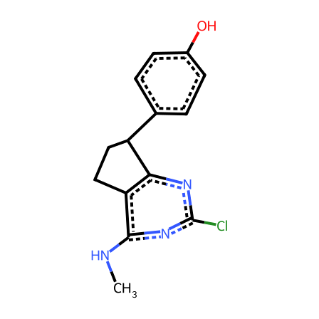 CNc1nc(Cl)nc2c1CCC2c1ccc(O)cc1